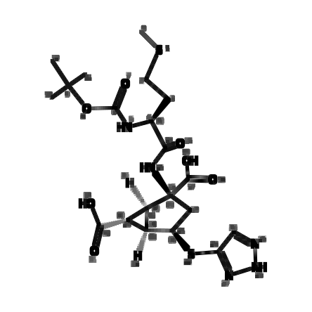 CSCC[C@H](NC(=O)OC(C)(C)C)C(=O)N[C@@]1(C(=O)O)C[C@@H](Sc2cn[nH]n2)[C@H]2[C@H](C(=O)O)[C@H]21